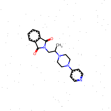 CC(CN1C(=O)c2ccccc2C1=O)N1CCN(c2ccncc2)CC1